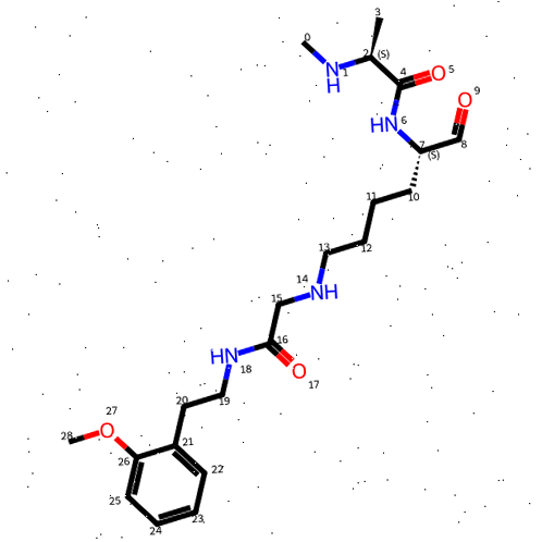 CN[C@@H](C)C(=O)N[C@H](C=O)CCCCNCC(=O)NCCc1ccccc1OC